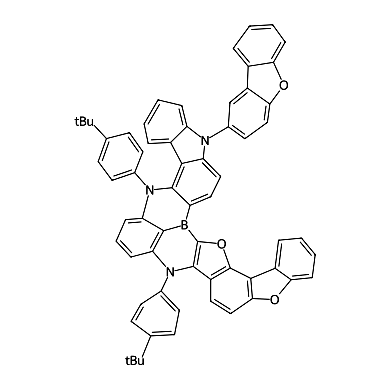 CC(C)(C)c1ccc(N2c3cccc4c3B(c3ccc5c(c3N4c3ccc(C(C)(C)C)cc3)c3ccccc3n5-c3ccc4oc5ccccc5c4c3)c3oc4c(ccc5oc6ccccc6c54)c32)cc1